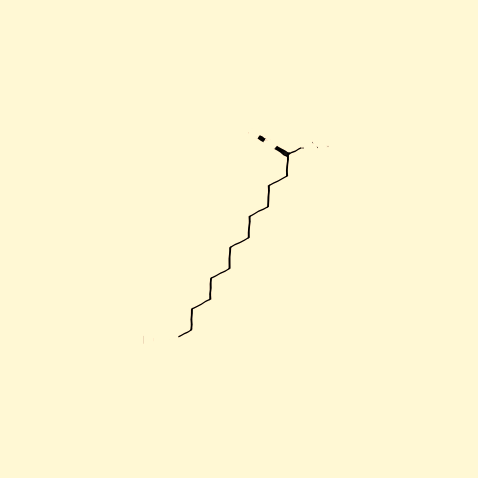 CCCCCCCCCC(=C=O)CCCCCCCCCCCC(=O)O